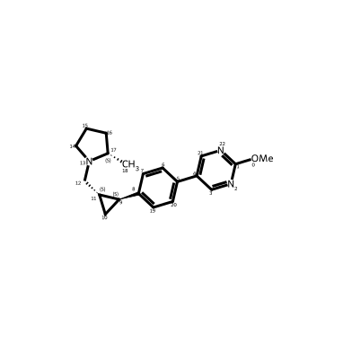 COc1ncc(-c2ccc([C@H]3C[C@@H]3CN3CCC[C@@H]3C)cc2)cn1